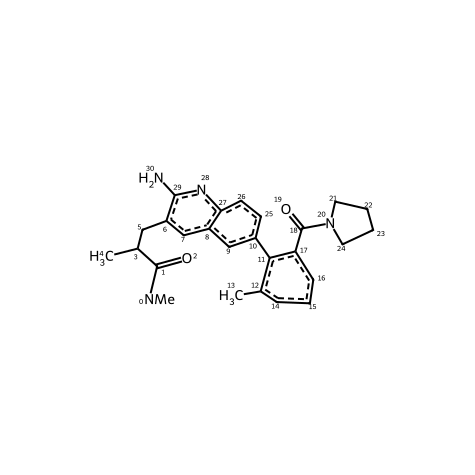 CNC(=O)C(C)Cc1cc2cc(-c3c(C)cccc3C(=O)N3CCCC3)ccc2nc1N